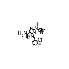 Cn1cc(Nc2ncc(C(N)=O)c(NCc3cccc(F)c3Cl)n2)cn1